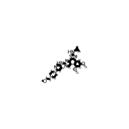 COCCN1CCN(c2ccc(Nc3nccc(-c4sc(NC5CC5)nc4-c4cc(OC)cc(OC)c4)n3)cn2)CC1